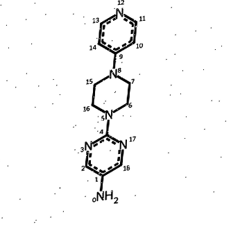 Nc1cnc(N2CCN(c3ccncc3)CC2)nc1